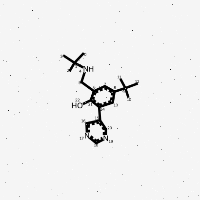 CC(C)(C)NCc1cc(C(C)(C)C)cc(-c2cncnc2)c1O